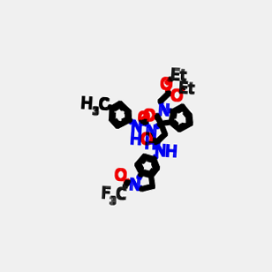 CCOC(CN1C(=O)C(CC(=O)Nc2ccc3c(c2)CCN3C(=O)C(F)(F)F)(NC(=O)Nc2ccc(C)cc2)c2ccccc21)OCC